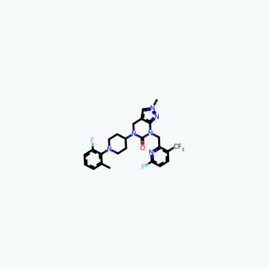 Cc1cccc(F)c1N1CCC(N2Cc3cn(C)nc3N(Cc3nc(F)ccc3C(F)(F)F)C2=O)CC1